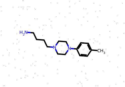 Cc1ccc(N2CCN(CCCCN)CC2)cc1